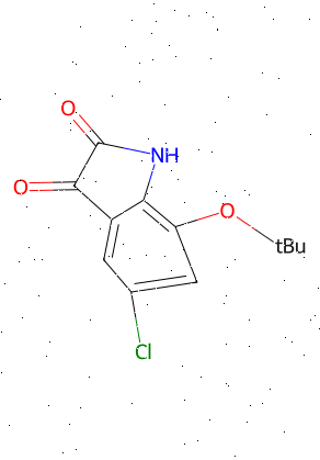 CC(C)(C)Oc1cc(Cl)cc2c1NC(=O)C2=O